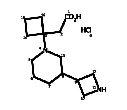 Cl.O=C(O)CC1(N2CCCC(C3CNC3)C2)CCC1